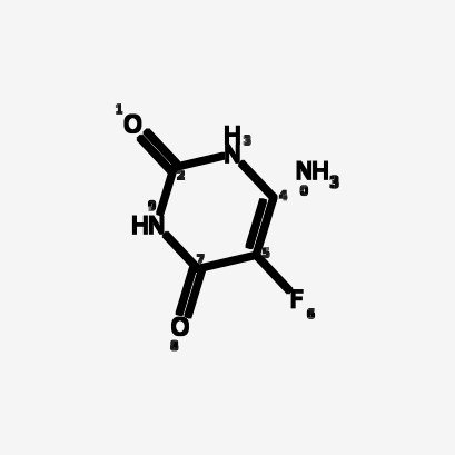 N.O=c1[nH]cc(F)c(=O)[nH]1